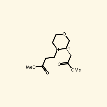 COC(=O)CCN1CCOC[C@@H]1CC(=O)OC